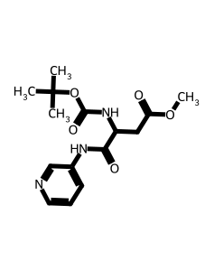 COC(=O)CC(NC(=O)OC(C)(C)C)C(=O)Nc1cccnc1